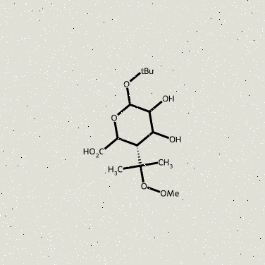 COOC(C)(C)[C@@H]1C(C(=O)O)OC(OC(C)(C)C)C(O)C1O